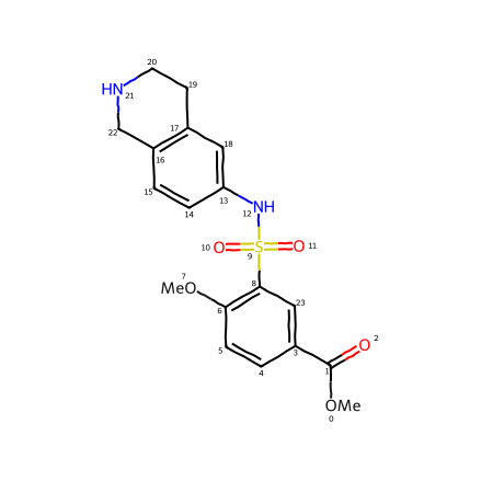 COC(=O)c1ccc(OC)c(S(=O)(=O)Nc2ccc3c(c2)CCNC3)c1